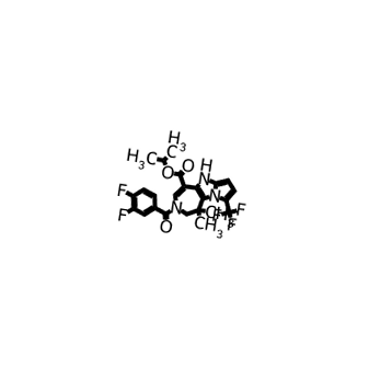 CC(C)OC(=O)C1=CN(C(=O)c2ccc(F)c(F)c2)CC(C)(C)c2c1[nH]c1ccc(C(F)(F)F)n21